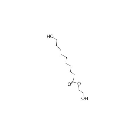 O=C(CCCCCCCCCO)OCCO